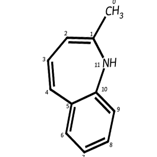 CC1=CC=Cc2ccccc2N1